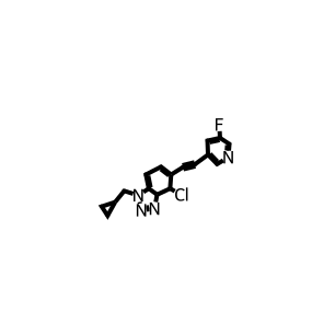 Fc1cncc(C#CC2=CC=C3C(N=NN3CC3CC3)C2Cl)c1